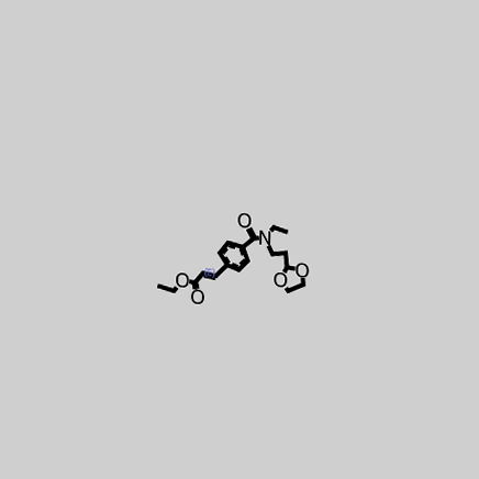 CCOC(=O)/C=C/c1ccc(C(=O)N(CC)CCC2OCCO2)cc1